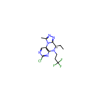 CC[C@@H]1c2nnc(C)n2-c2cnc(Cl)nc2N1CCC(F)(F)F